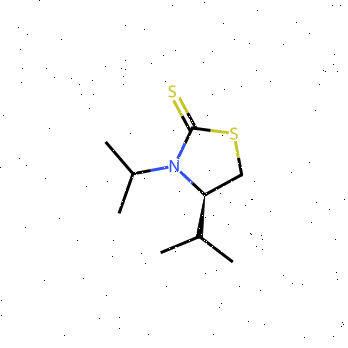 CC(C)[C@@H]1CSC(=S)N1C(C)C